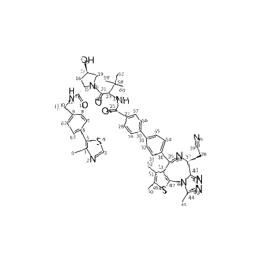 Cc1ncsc1-c1ccc([C@H](C)NC(=O)[C@@H]2C[C@@H](O)CN2C(=O)C(NC(=O)c2ccc(-c3ccc(C4=N[C@@H](CC#N)c5nnc(C)n5-c5sc(C)c(C)c54)cc3)cc2)C(C)(C)C)cc1